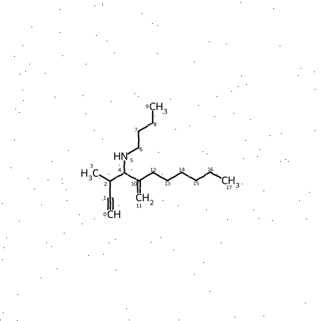 C#CC(C)C(NCCCC)C(=C)CCCCCC